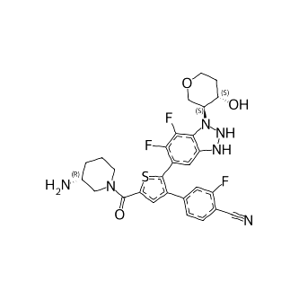 N#Cc1ccc(-c2cc(C(=O)N3CCC[C@@H](N)C3)sc2-c2cc3c(c(F)c2F)N([C@H]2COCC[C@@H]2O)NN3)cc1F